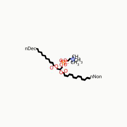 CCCCCCCCC/C=C/C=C\C=C/C=C\C=C/C=C\C(=O)OC(COC(=O)C=CCCCCCCCCCCCCCCCCC)COP(=O)([O-])OCC[N+](C)(C)C